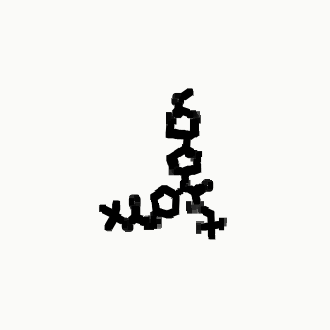 COc1ncc(-c2cnc(N(C(=O)NCC(C)(F)F)[C@H]3CC[C@H](NC(=O)OC(C)(C)C)CC3)cn2)cn1